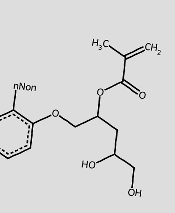 C=C(C)C(=O)OC(COc1ccccc1CCCCCCCCC)CC(O)CO